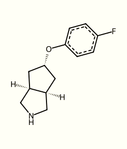 Fc1ccc(O[C@@H]2C[C@H]3CNC[C@H]3C2)cc1